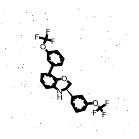 FC(F)(F)Oc1cccc(-c2cccc3c2OC[C@@H](c2cccc(OC(F)(F)F)c2)N3)c1